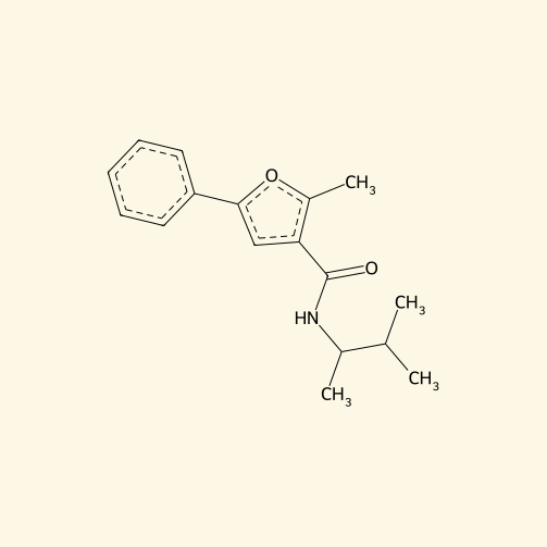 Cc1oc(-c2ccccc2)cc1C(=O)NC(C)C(C)C